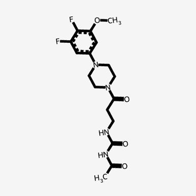 COc1cc(N2CCN(C(=O)CCNC(=O)NC(C)=O)CC2)cc(F)c1F